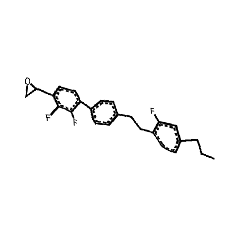 CCCc1ccc(CCc2ccc(-c3ccc(C4CO4)c(F)c3F)cc2)c(F)c1